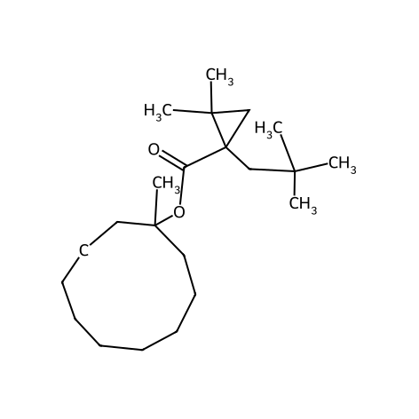 CC(C)(C)CC1(C(=O)OC2(C)CCCCCCCCC2)CC1(C)C